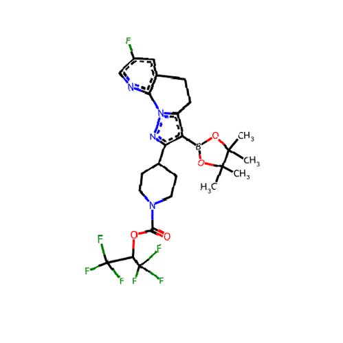 CC1(C)OB(c2c(C3CCN(C(=O)OC(C(F)(F)F)C(F)(F)F)CC3)nn3c2CCc2cc(F)cnc2-3)OC1(C)C